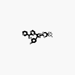 CC1(C)COC(c2nc(-c3ccc(F)cc3)c(-c3ccnc(C(N)c4cccnc4)n3)[nH]2)OC1